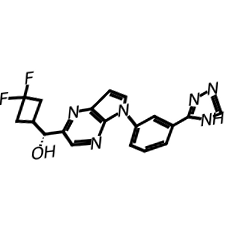 O[C@@H](c1cnc2c(ccn2-c2cccc(-c3nnc[nH]3)c2)n1)C1CC(F)(F)C1